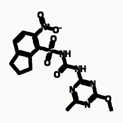 COc1nc(C)nc(NC(=O)NS(=O)(=O)c2c([N+](=O)[O-])ccc3c2CCC3)n1